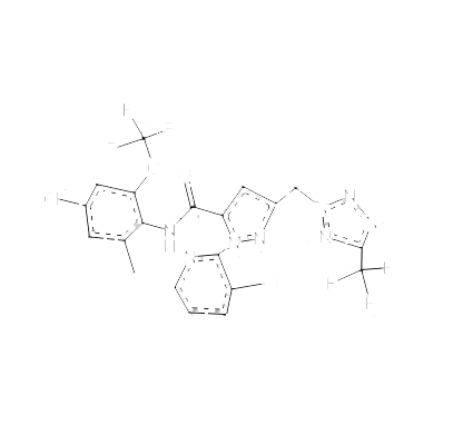 Cc1cc(Cl)cc(OC(F)(F)F)c1NC(=O)c1cc(Cn2nnc(C(F)(F)F)n2)nn1-c1ncccc1Cl